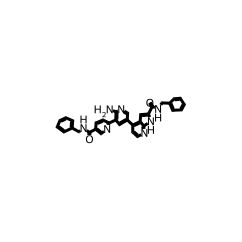 Nc1ncc(-c2ccnc3[nH]c(C(=O)NCc4ccccc4)cc23)cc1-c1ccc(C(=O)NCc2ccccc2)cn1